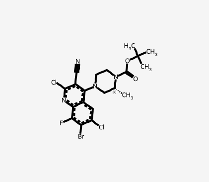 C[C@@H]1CN(c2c(C#N)c(Cl)nc3c(F)c(Br)c(Cl)cc23)CCN1C(=O)OC(C)(C)C